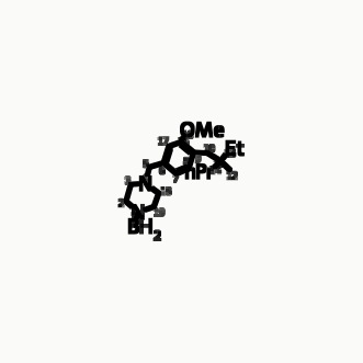 BN1CCN(Cc2ccc(CC(C)(CC)CCC)c(OC)c2)CC1